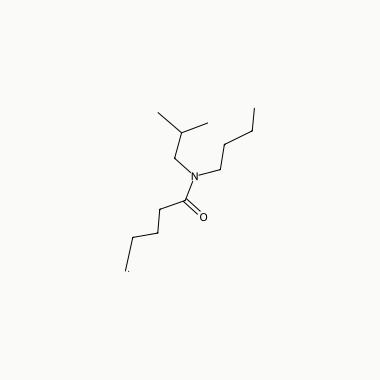 [CH2]CCCC(=O)N(CCCC)CC(C)C